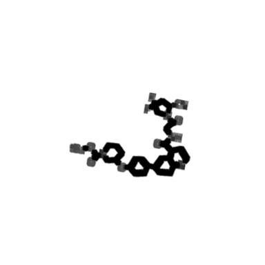 CC(C)(C)OC(=O)N1CCCC(Oc2ccc(-c3ccc4nccc(C(=O)NCC(=O)N5CC(F)(F)C[C@H]5C#N)c4c3)cc2)C1